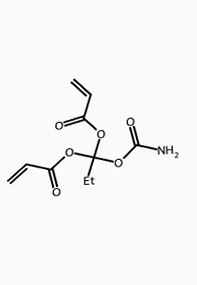 C=CC(=O)OC(CC)(OC(N)=O)OC(=O)C=C